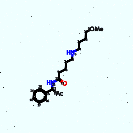 COCCCCNCCCCC(=O)NC(C(C)=O)c1ccccc1